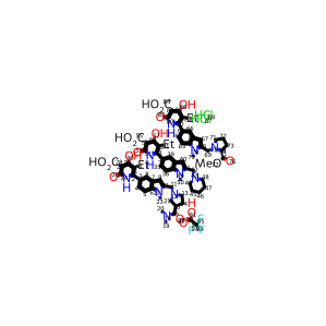 CCc1c(-c2ccc3c(c2)cc(CN2CCC(C(=O)N(C)C)C2)n3C)[nH]c(=O)c(C(=O)O)c1O.CCc1c(-c2ccc3c(c2)cc(CN2CCCCC2)n3C)[nH]c(=O)c(C(=O)O)c1O.CCc1c(-c2ccc3c(c2)cc(CN2CCC[C@H]2C(=O)OC)n3C)[nH]c(=O)c(C(=O)O)c1O.Cl.Cl.O=C(O)C(F)(F)F